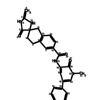 C=C1NC(=O)C2(CCc3cc(C(=O)Nc4cc(-c5ccccc5)cn(C)c4=O)ccc3C2)N1